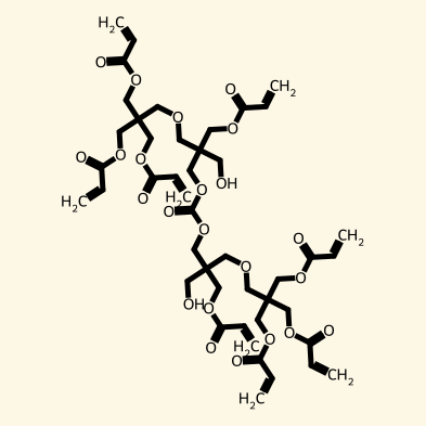 C=CC(=O)OCC(COCC(CO)(COC(=O)C=C)COC(=O)OCC(CO)(COCC(COC(=O)C=C)(COC(=O)C=C)COC(=O)C=C)COC(=O)C=C)(COC(=O)C=C)COC(=O)C=C